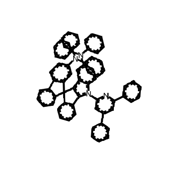 c1ccc(-c2cc(-c3ccccc3)nc(-n3c4c(c5cc(N(c6ccccc6)c6ccccc6)ccc53)C3(c5ccccc5-c5ccc(N(c6ccccc6)c6ccccc6)cc53)c3ccccc3-4)c2)cc1